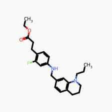 CCCN1CCCc2ccc(CNc3ccc(CCC(=O)OCC)c(F)c3)cc21